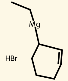 Br.C[CH2][Mg][CH]1C=CCCC1